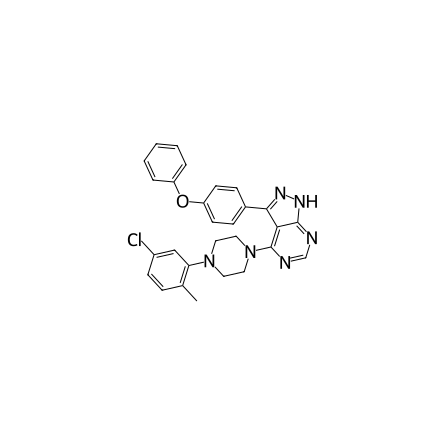 Cc1ccc(Cl)cc1N1CCN(c2ncnc3[nH]nc(-c4ccc(Oc5ccccc5)cc4)c23)CC1